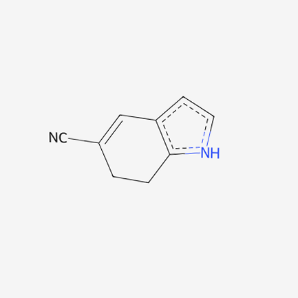 N#CC1=Cc2cc[nH]c2CC1